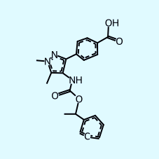 Cc1c(NC(=O)OC(C)c2ccccc2)c(-c2ccc(C(=O)O)cc2)nn1C